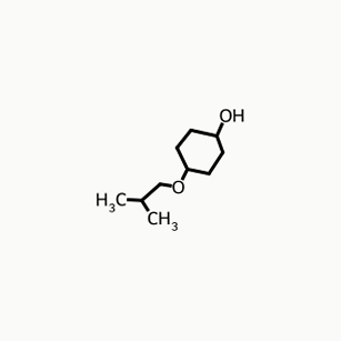 CC(C)COC1CCC(O)CC1